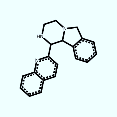 c1ccc2c(c1)CN1CCNC(c3ccc4ccccc4n3)C21